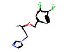 CCCCC(Cn1ccnc1)OCc1ccc(Cl)c(Cl)c1